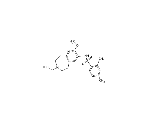 CCN1CCc2cc(NS(=O)(=O)c3ccc(C)cc3C)c(OC)nc2CC1